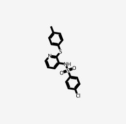 Cc1ccc(Sc2ncccc2NS(=O)(=O)c2ccc(Cl)cc2)cc1